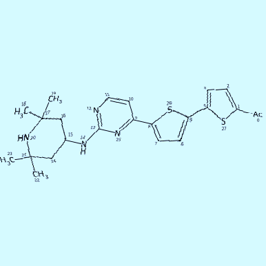 CC(=O)c1ccc(-c2ccc(-c3ccnc(NC4CC(C)(C)NC(C)(C)C4)n3)s2)s1